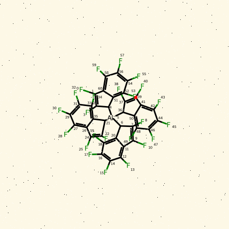 FC1=C(F)[CH]([Al-]([CH]2C(F)=C(F)c3c(F)c(F)c(F)c(F)c32)([CH]2C(F)=C(F)c3c(F)c(F)c(F)c(F)c32)[CH]2C(F)=C(F)c3c(F)c(F)c(F)c(F)c32)c2c(F)c(F)c(F)c(F)c21